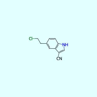 N#Cc1c[nH]c2ccc(CCCl)cc12